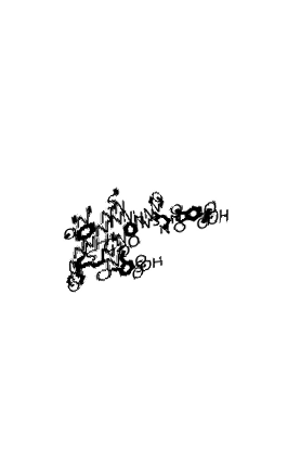 [C-]#[N+]/C(=C\c1sc(/N=N/c2cc(OC)c(N(CC)CC)cc2Nc2nc(Nc3cc(N(CC)CC)c(OC)cc3/N=N/c3nc(N4CCOCC4)c(/C=C(\C#N)N4C(=O)c5ccc(S(=O)(=O)O)cc5C4=O)s3)nc(SCC)n2)nc1N1CCOCC1)N1C(=O)c2ccc(S(=O)(=O)O)cc2C1=O